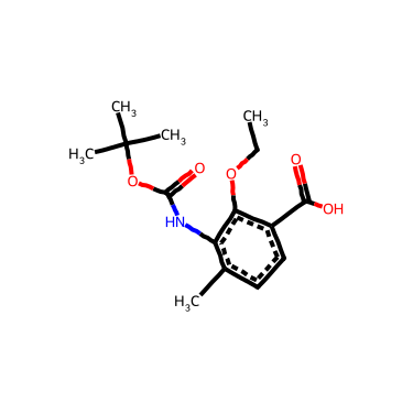 CCOc1c(C(=O)O)ccc(C)c1NC(=O)OC(C)(C)C